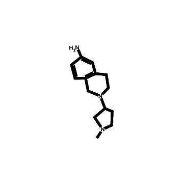 CN1CCC(N2CCc3cc(N)ccc3C2)C1